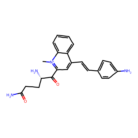 C[n+]1c(C(=O)[C@@H](N)CCC(N)=O)cc(C=Cc2ccc(N)cc2)c2ccccc21